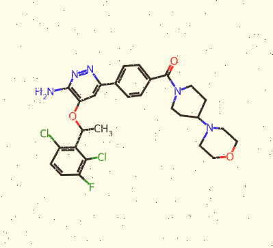 CC(Oc1cc(-c2ccc(C(=O)N3CCC(N4CCOCC4)CC3)cc2)nnc1N)c1c(Cl)ccc(F)c1Cl